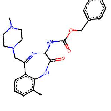 Cc1cccc2c1NC(=O)C(NC(=O)OCc1ccccc1)N=C2CN1CCN(C)CC1